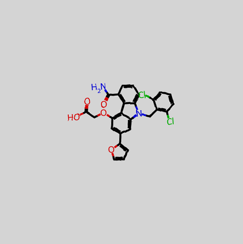 NC(=O)c1cccc2c1c1c(OCC(=O)O)cc(-c3ccco3)cc1n2Cc1c(Cl)cccc1Cl